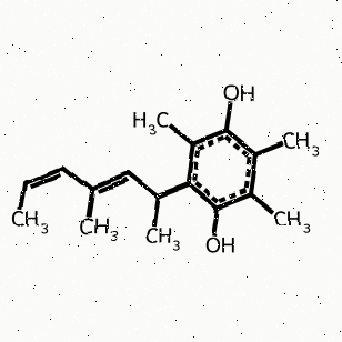 C/C=C\C(C)=C\C(C)c1c(C)c(O)c(C)c(C)c1O